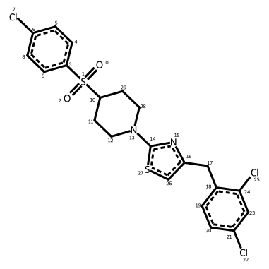 O=S(=O)(c1ccc(Cl)cc1)C1CCN(c2nc(Cc3ccc(Cl)cc3Cl)cs2)CC1